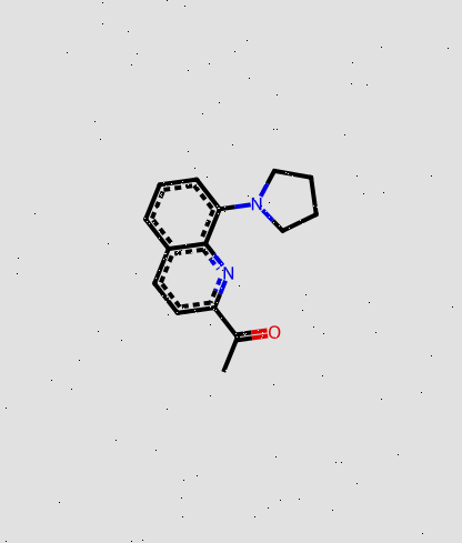 CC(=O)c1ccc2cccc(N3CCCC3)c2n1